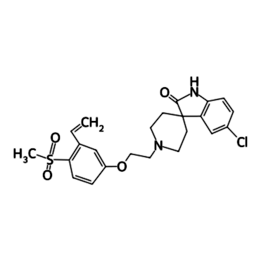 C=Cc1cc(OCCN2CCC3(CC2)C(=O)Nc2ccc(Cl)cc23)ccc1S(C)(=O)=O